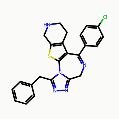 Clc1ccc(C2=NCc3nnc(Cc4ccccc4)n3-c3sc4c(c32)CCNC4)cc1